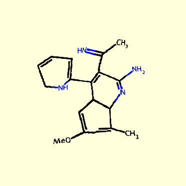 COC1=CC2C(C3=CC=CCN3)=C(C(C)=N)C(N)=NC2C(C)=C1